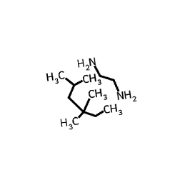 CCC(C)(C)CC(C)C.NCCN